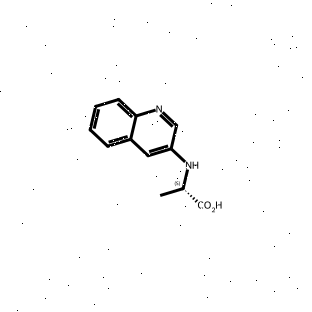 C[C@H](Nc1cnc2ccccc2c1)C(=O)O